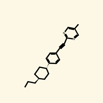 CCC[C@H]1CC[C@H](c2ccc(C#Cc3ncc(C)cn3)cc2)CC1